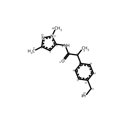 Cc1cc(NC(=O)C(C)c2ccc(CC(C)C)cc2)n(C)n1